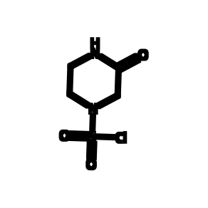 O=C1CN(S(=O)(=O)Cl)CCN1